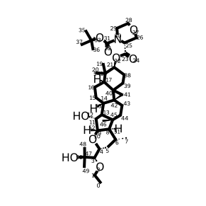 CCO[C@@H]([C@H]1C[C@@H](C)[C@H]2[C@H](O1)[C@H](O)C1[C@@H]3CC[C@H]4C(C)(C)[C@@H](OC(=O)[C@H]5COCCN5C(=O)OC(C)(C)C)CCC45C[C@@]35CC[C@@]12C)C(C)(C)O